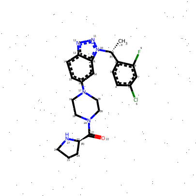 C[C@H](c1ccc(Cl)cc1F)n1nnc2ccc(N3CCN(C(=O)[C@H]4CCCN4)CC3)cc21